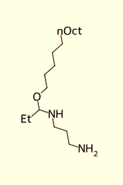 CCCCCCCCCCCCCOC(CC)NCCCN